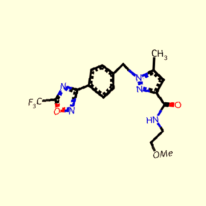 COCCNC(=O)c1cc(C)n(Cc2ccc(-c3noc(C(F)(F)F)n3)cc2)n1